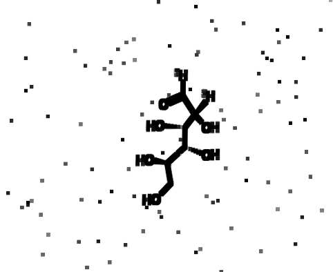 [3H]C(=O)[C@]([3H])(O)[C@@H](O)[C@H](O)[C@H](O)CO